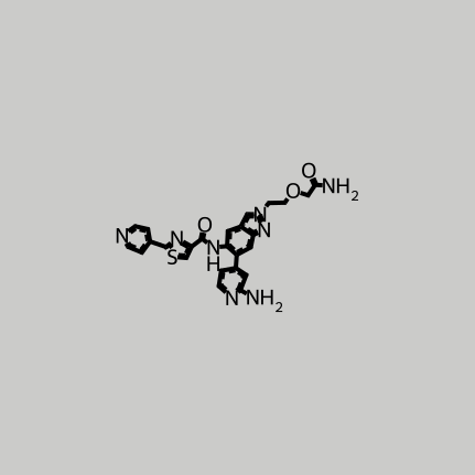 NC(=O)COCCn1cc2cc(NC(=O)c3csc(-c4ccncc4)n3)c(-c3ccnc(N)c3)cc2n1